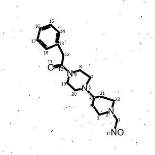 O=NCN1CCC(N2CCN(C(=O)Cc3ccccc3)CC2)CC1